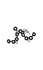 CC1(C)C2=C(C=CC(c3ccc4oc5ccc(-c6ccccc6)cc5c4c3)C2)c2c1ccc1c2c2cc(-c3ccc4oc5ccc(-c6ccccc6)cc5c4c3)ccc2n1-c1ccccc1